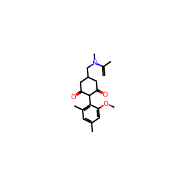 C=C(C)N(C)CC1CC(=O)C(c2c(C)cc(C)cc2OC)C(=O)C1